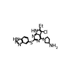 CCc1[nH]c2nc(Sc3ccc4[nH]nnc4c3)nc(N3CCC(N)C3)c2c1Cl